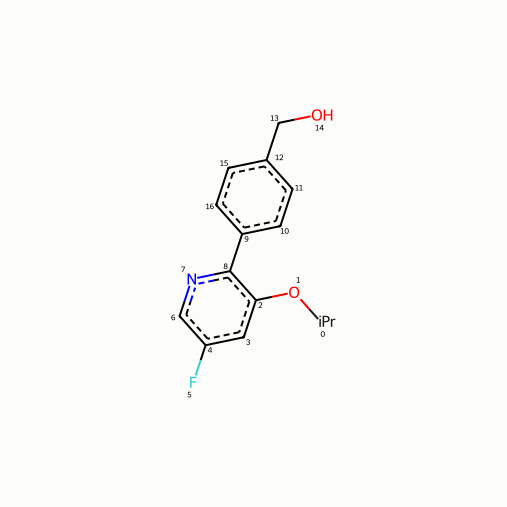 CC(C)Oc1cc(F)cnc1-c1ccc(CO)cc1